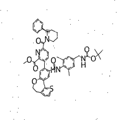 COC(=O)c1nc(C(=O)N2CCCC[C@@H]2c2ccccc2)ccc1-c1cc2c(cc1C(=O)Nc1c(C)cc(CNC(=O)OC(C)(C)C)cc1C)-c1sccc1CCO2